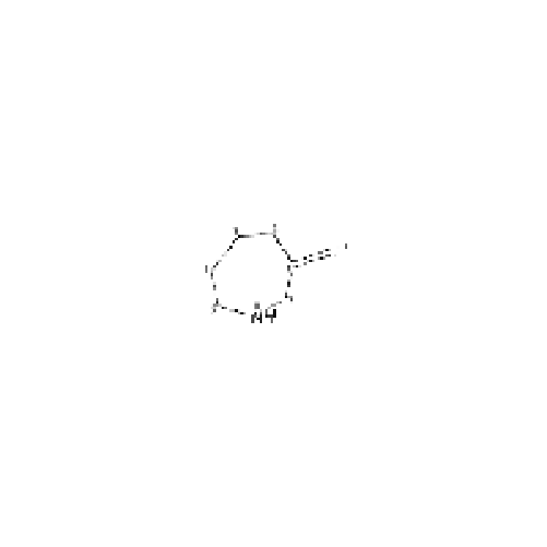 C=C1CCCCNC1